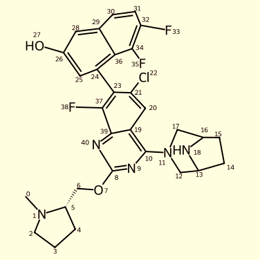 CN1CCC[C@H]1COc1nc(N2CC3CCC(C2)N3)c2cc(Cl)c(-c3cc(O)cc4ccc(F)c(F)c34)c(F)c2n1